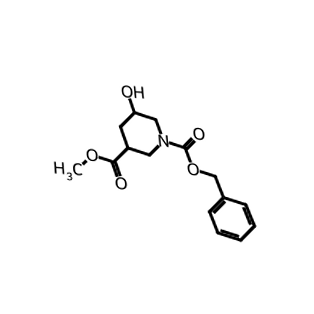 COC(=O)C1CC(O)CN(C(=O)OCc2ccccc2)C1